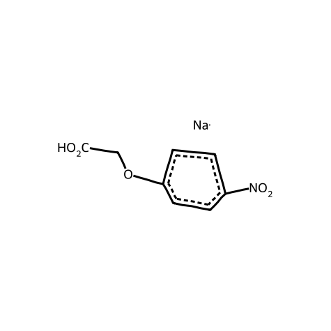 O=C(O)COc1ccc([N+](=O)[O-])cc1.[Na]